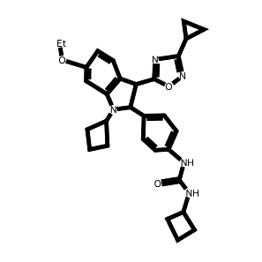 CCOc1ccc2c(c1)N(C1CCC1)C(c1ccc(NC(=O)NC3CCC3)cc1)C2c1nc(C2CC2)no1